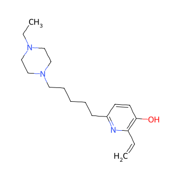 C=Cc1nc(CCCCCN2CCN(CC)CC2)ccc1O